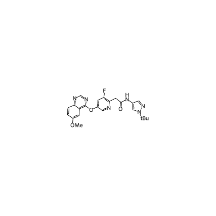 COc1ccc2ncnc(Oc3cnc(CC(=O)Nc4cnn(C(C)(C)C)c4)c(F)c3)c2c1